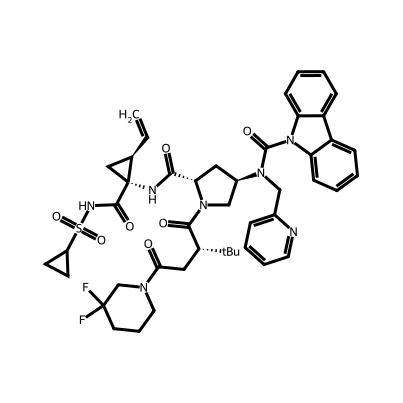 C=C[C@@H]1C[C@]1(NC(=O)[C@@H]1C[C@@H](N(Cc2ccccn2)C(=O)n2c3ccccc3c3ccccc32)CN1C(=O)[C@@H](CC(=O)N1CCCC(F)(F)C1)C(C)(C)C)C(=O)NS(=O)(=O)C1CC1